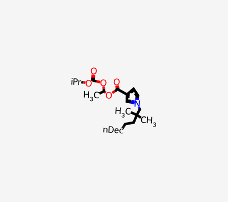 CCCCCCCCCCCCC(C)(C)Cn1ccc(C(=O)OC(C)OC(=O)OC(C)C)c1